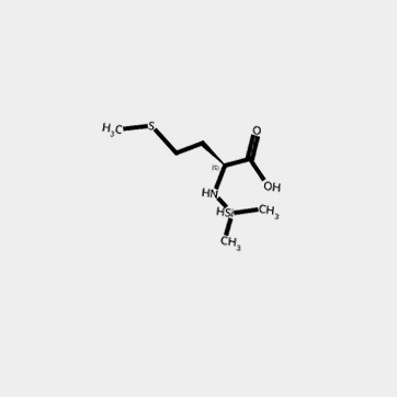 CSCC[C@H](N[SiH](C)C)C(=O)O